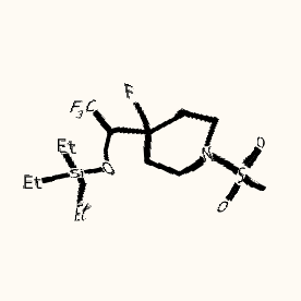 CC[Si](CC)(CC)OC(C(F)(F)F)C1(F)CCN(S(C)(=O)=O)CC1